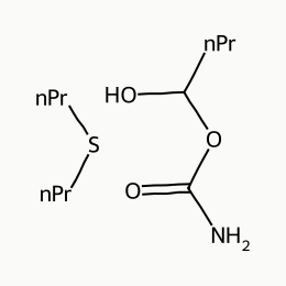 CCCC(O)OC(N)=O.CCCSCCC